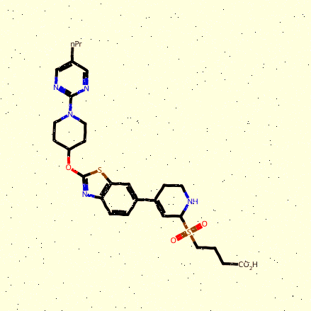 CCCc1cnc(N2CCC(Oc3nc4ccc(C5=CC(S(=O)(=O)CCCC(=O)O)NCC5)cc4s3)CC2)nc1